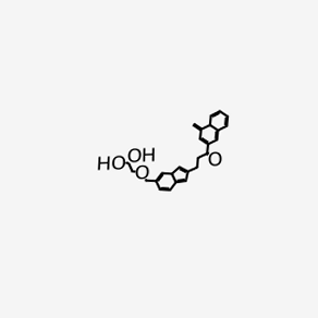 C=C1C=C(C(=O)CCC2=CC3C=C(COCC(O)O)C=CC3=C2)C=C2C=CC=CC12